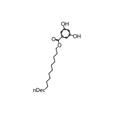 CCCCCCCCCCCCCCCCCCCCOC(=O)c1cc(O)cc(O)c1